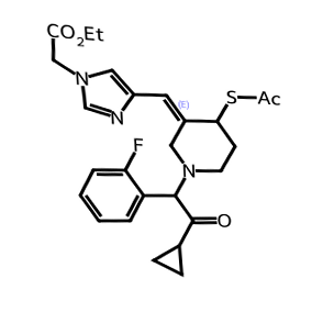 CCOC(=O)Cn1cnc(/C=C2\CN(C(C(=O)C3CC3)c3ccccc3F)CCC2SC(C)=O)c1